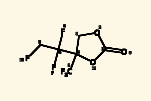 O=C1OCC(C(F)(F)F)(C(F)(F)CF)O1